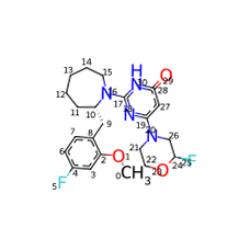 COc1cc(F)ccc1C[C@@H]1CCCCCN1c1nc(N2CCO[C@H](F)C2)cc(=O)[nH]1